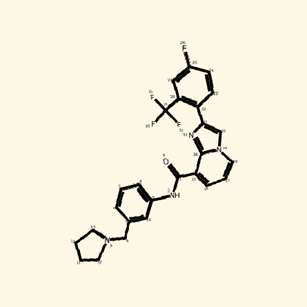 O=C(Nc1cccc(CN2CCCC2)c1)c1cccn2cc(-c3ccc(F)cc3C(F)(F)F)nc12